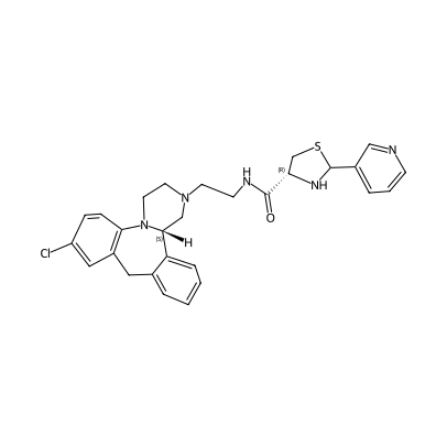 O=C(NCCN1CCN2c3ccc(Cl)cc3Cc3ccccc3[C@H]2C1)[C@@H]1CSC(c2cccnc2)N1